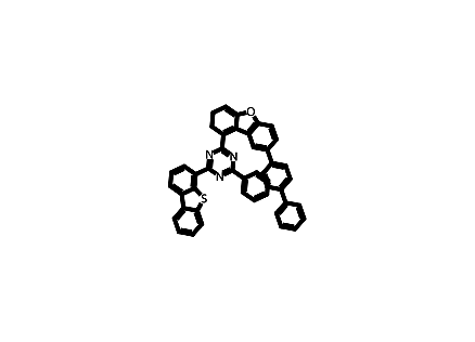 C1=c2oc3ccc(-c4ccc(-c5ccccc5)cc4)cc3c2=C(c2nc(-c3ccccc3)nc(-c3cccc4c3sc3ccccc34)n2)CC1